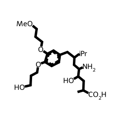 COCCCOc1cc(CC(CC(N)C(O)CC(C)C(=O)O)C(C)C)ccc1OCCCO